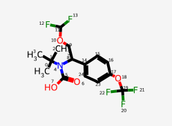 CC(C)(C)N(C(=O)O)C(COC(F)F)c1ccc(OC(F)(F)F)cc1